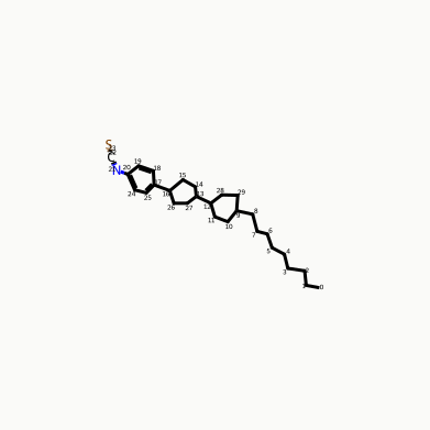 CCCCCCCCCC1CCC(C2CCC(c3ccc(N=C=S)cc3)CC2)CC1